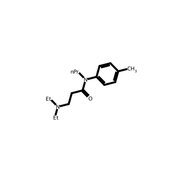 CCCN(C(=O)CCN(CC)CC)c1ccc(C)cc1